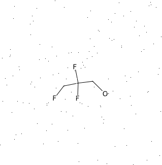 [O]CC(F)(F)CF